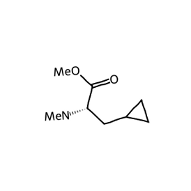 CN[C@@H](CC1CC1)C(=O)OC